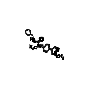 C=[N+](C(=O)NCc1ccccc1)c1ccc(-c2cnn(C)c2)cc1